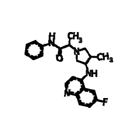 CC1CN(C(C)C(=O)Nc2ccccc2)CC1Nc1ccnc2ccc(F)cc12